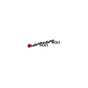 CCCCCCCCC1(C)c2ccccc2-c2ccc(-c3ccc4c(c3)C(C)(C)c3cc(-c5ccc(-c6ccc7c(c6)C(C)(CCCCCCCC)c6cc(-c8ccc9c(c8)C(C)(C)c8cc(-c%10ccc(B%11OC(C)(C)C(C)(C)O%11)cc%10)ccc8-9)ccc6-7)cc5)ccc3-4)cc21